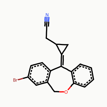 N#CCC1C/C1=C1/c2ccc(Br)cc2COc2ccccc21